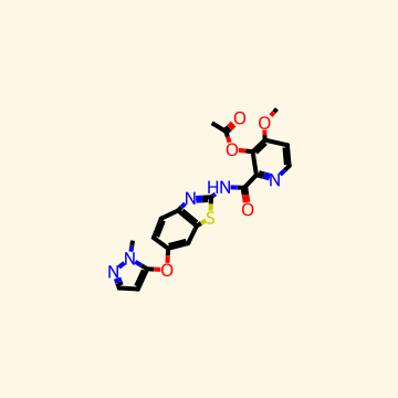 COc1ccnc(C(=O)Nc2nc3ccc(Oc4ccnn4C)cc3s2)c1OC(C)=O